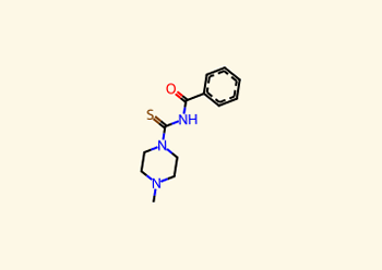 CN1CCN(C(=S)NC(=O)c2ccccc2)CC1